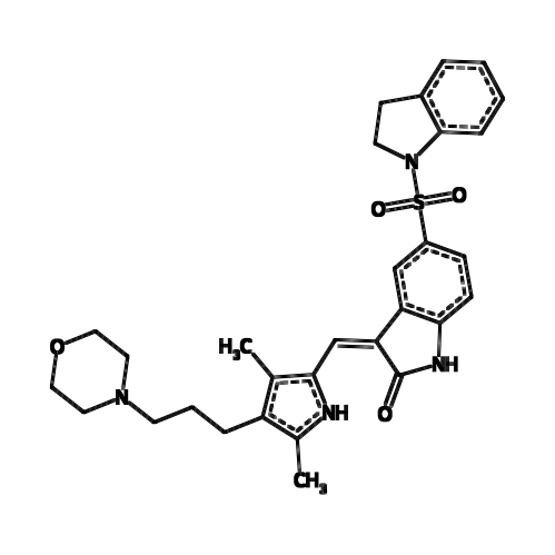 Cc1[nH]c(C=C2C(=O)Nc3ccc(S(=O)(=O)N4CCc5ccccc54)cc32)c(C)c1CCCN1CCOCC1